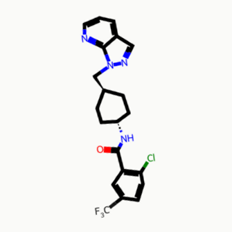 O=C(N[C@H]1CC[C@H](Cn2ncc3cccnc32)CC1)c1cc(C(F)(F)F)ccc1Cl